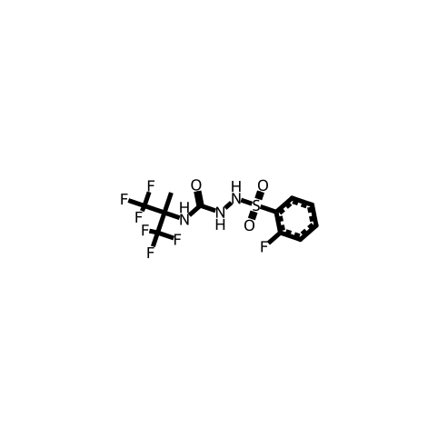 CC(NC(=O)NNS(=O)(=O)c1ccccc1F)(C(F)(F)F)C(F)(F)F